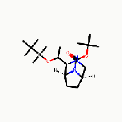 C[C@H](O[Si](C)(C)C(C)(C)C)[C@H]1NC[C@H]2CC[C@@H]1N2C(=O)OC(C)(C)C